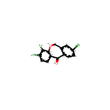 O=C1c2ccc(Br)cc2COc2c1ccc(F)c2F